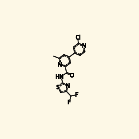 Cc1cc(-c2ccnc(Cl)c2)cc(C(=O)Nc2nc(C(F)F)cs2)n1